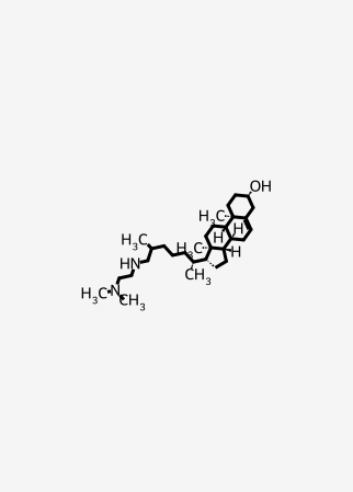 CC(CCC[C@@H](C)[C@H]1CC[C@H]2[C@@H]3CC=C4C[C@@H](O)CC[C@]4(C)[C@H]3CC[C@]12C)CNCCN(C)C